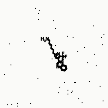 NCCCCCCn1cc(-c2cnc3ccccc3n2)c(C(F)(F)F)n1